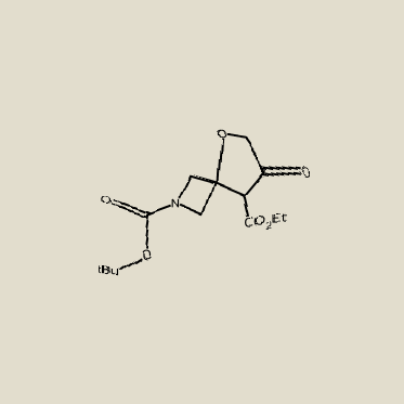 CCOC(=O)C1C(=O)COC12CN(C(=O)OC(C)(C)C)C2